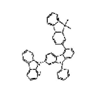 CC1(C)c2ccccc2C2C=CC(c3cccc4c3c3ccc(-n5c6ccccc6c6cccnc65)cc3n4-c3ccccc3)=CC21